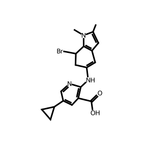 Cc1cc2c(n1C)C(Br)CC(Nc1ncc(C3CC3)cc1C(=O)O)=C2